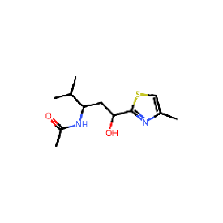 CC(=O)NC(CC(O)c1nc(C)cs1)C(C)C